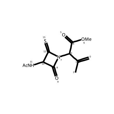 C=C(C)C(C(=O)OC)N1C(=O)C(NC(C)=O)C1=S